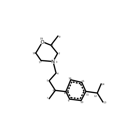 CC1CN(CCC(C)c2ccc(C(C)C)cc2)CCO1